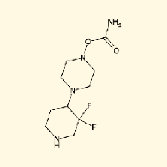 NC(=O)ON1CCN(C2CCNCC2(F)F)CC1